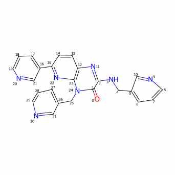 O=c1c(NCc2cccnc2)nc2ccc(-c3cccnc3)nc2n1Cc1cccnc1